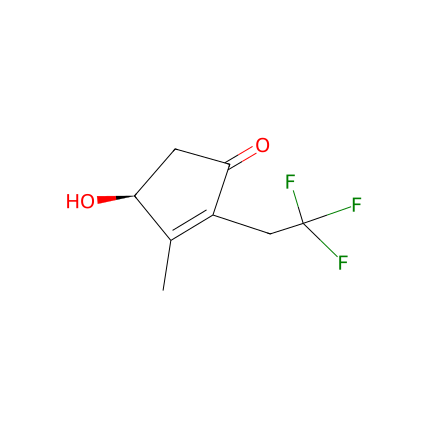 CC1=C(CC(F)(F)F)C(=O)C[C@@H]1O